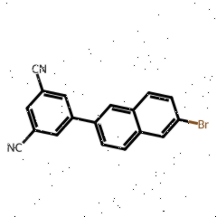 N#Cc1cc(C#N)cc(-c2ccc3cc(Br)ccc3c2)c1